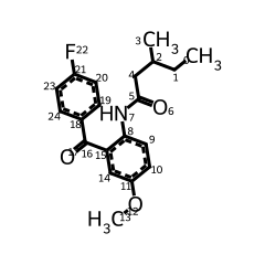 CCC(C)CC(=O)Nc1ccc(OC)cc1C(=O)c1ccc(F)cc1